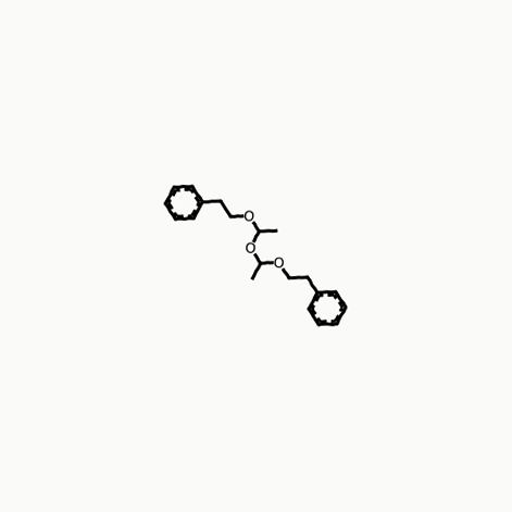 CC(OCCc1ccccc1)OC(C)OCCc1ccccc1